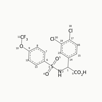 O=C(O)C(NS(=O)(=O)c1ccc(OC(F)(F)F)cc1)c1ccc(Cl)c(Cl)c1